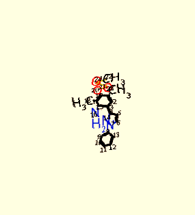 Cc1cc(-c2ccn(-c3ccccc3)n2)c(N)c(C)c1OS(C)(=O)=O